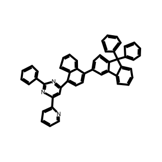 c1ccc(-c2nc(-c3ccccn3)cc(-c3ccc(-c4ccc5c(c4)-c4ccccc4C5(c4ccccc4)c4ccccc4)c4ccccc34)n2)cc1